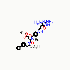 CC(C)(C)OC(=O)CC[C@@H](C(=O)N[C@@H](Cc1cccc(C2CCCC2)c1)C(=O)O)N(C(=O)c1ccc(NCCCc2c(N)nc(N)[nH]c2=O)cc1)C(C)(C)C